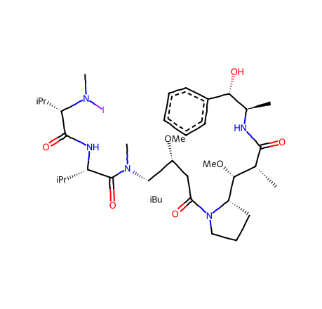 CC[C@H](C)[C@@H]([C@@H](CC(=O)N1CCC[C@H]1[C@H](OC)[C@@H](C)C(=O)N[C@H](C)[C@@H](O)c1ccccc1)OC)N(C)C(=O)[C@@H](NC(=O)[C@H](C(C)C)N(C)I)C(C)C